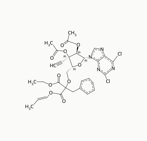 C#C[C@@]1(OC(C)=O)[C@@H](COC(Cc2ccccc2)(C(=O)OC=CC)C(=O)OCC)O[C@@H](n2cnc3c(Cl)nc(Cl)nc32)[C@@H]1OC(C)=O